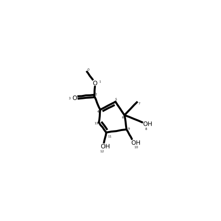 COC(=O)C1=CC(C)(O)C(O)C(O)=C1